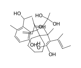 C=C/C(C)=C(/C(C)(O)O)C(C)(C(=C(O)O)/C(C)=C/C)C1(C(C)(O)c2c(O)ccc(C)c2C(C)O)CCCCC1